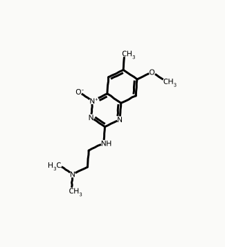 COc1cc2nc(NCCN(C)C)n[n+]([O-])c2cc1C